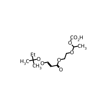 CCC(C)(C)OOC=CC(=O)OCCOC(C)OC(=O)O